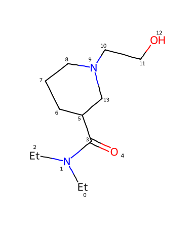 CCN(CC)C(=O)C1CCCN(CCO)C1